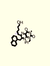 CC(C)Cn1c(=O)n(C)c(=O)c2nc(/C=C\CCCO)c(Cc3cccc4ccccc34)nc21